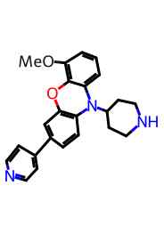 COc1cccc2c1Oc1cc(-c3ccncc3)ccc1N2C1CCNCC1